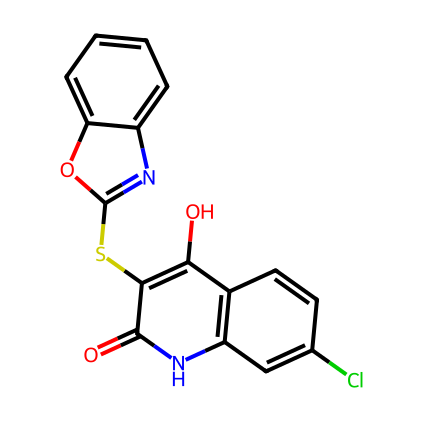 O=c1[nH]c2cc(Cl)ccc2c(O)c1Sc1nc2ccccc2o1